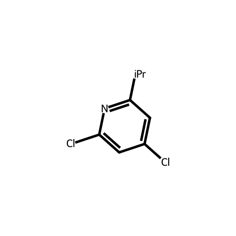 CC(C)c1cc(Cl)cc(Cl)n1